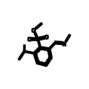 C/N=C/c1cccc(C(C)C)c1S(=O)(=O)OC